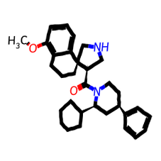 COc1cccc2c1CCC[C@]21CNC[C@H]1C(=O)N1CC[C@@H](c2ccccc2)C[C@H]1C1CCCCC1